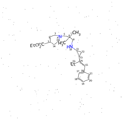 CCOC(=O)C1CCN(CC(C)(C)CNC2CC2/C(=C/c2ccccc2)CC)CC1